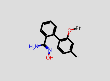 [CH2]c1ccc(-c2ccccc2C(N)=NO)c(OCC)c1